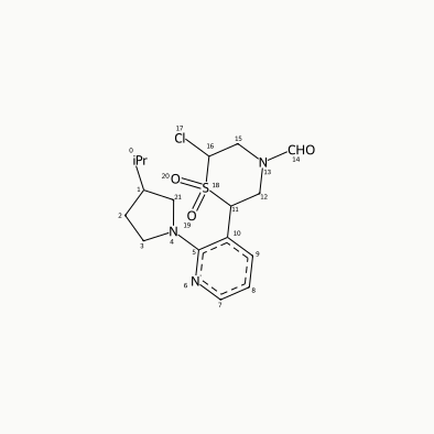 CC(C)C1CCN(c2ncccc2C2CN(C=O)CC(Cl)S2(=O)=O)C1